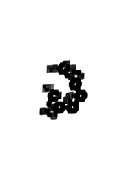 N#Cc1cncc(CN2C(=O)COc3cc(-c4cccc(-c5cccc(-c6ccc7c(c6)OCC(=O)N7Cc6cncc(C#N)c6)c5Cl)c4Cl)ccc32)c1